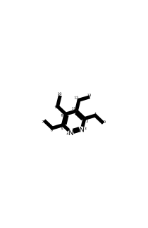 CCc1nnc(CC)c(CC)c1CC